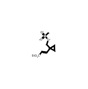 CCOC(=O)C=CC1(COS(C)(=O)=O)CC1